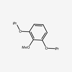 COc1c(OC(C)C)cccc1OC(C)C